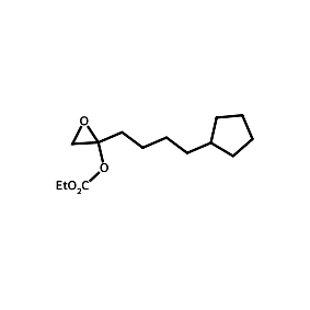 CCOC(=O)OC1(CCCCC2CCCC2)CO1